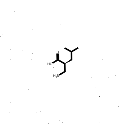 CC(C)C[C@@H](CN)C(=O)O